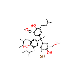 CCC(C)Cc1cc(C(C)(c2cc(CS)c(O)c(COC)c2)c2cc(CCC(C)C)c(O)c(COC)c2)cc(CC(C)CC)c1O